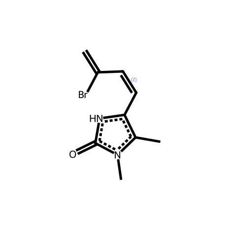 C=C(Br)/C=C\c1[nH]c(=O)n(C)c1C